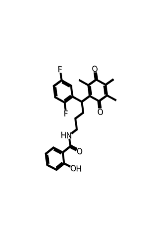 CC1=C(C)C(=O)C(C(CCCNC(=O)c2ccccc2O)c2cc(F)ccc2F)=C(C)C1=O